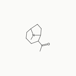 CC(=O)C1CCCC2CCC1N2C